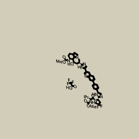 COC(=O)N[C@H]1CCc2ccn3c2C1C(=O)C[C@H](c1ncc(-c2cnc4cc(-c5ccc(-c6cnc([C@@H]7CC(F)(F)CN7C(=O)[C@@H](NC(=O)OC)C(C)C)[nH]6)cc5)ccc4c2)[nH]1)C3.O=C(O)C(F)(F)F